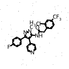 Cn1nc(-c2ccc(F)cc2)c(-c2ccncc2)c1NC(=O)Cc1ccc(C(F)(F)F)cc1Cl